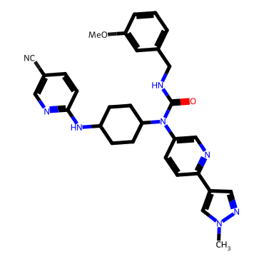 COc1cccc(CNC(=O)N(c2ccc(-c3cnn(C)c3)nc2)C2CCC(Nc3ccc(C#N)cn3)CC2)c1